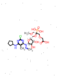 C=NN(c1nc(Cl)nc(NC2CCCC2)c1C)[C@@H]1O[C@H](CO[C@](COC)(COCC(=O)O)P(=O)(O)O)[C@@H](O)[C@H]1O